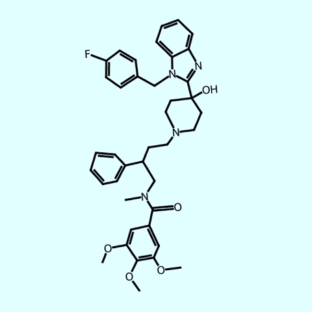 COc1cc(C(=O)N(C)CC(CCN2CCC(O)(c3nc4ccccc4n3Cc3ccc(F)cc3)CC2)c2ccccc2)cc(OC)c1OC